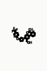 CC(=O)c1ccccc1-c1ccc(N2CC[C@H](Oc3ccc(C(F)(F)F)cn3)C2)c(CO)c1